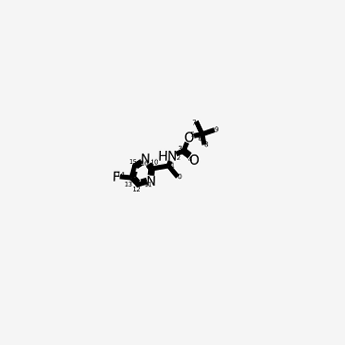 CC(NC(=O)OC(C)(C)C)c1ncc(F)cn1